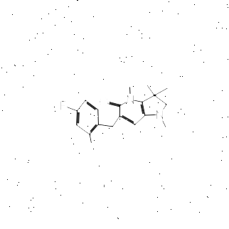 Cc1cc(F)ccc1Cc1cc2c(n(C)c1=O)C(C)(C)CN2C